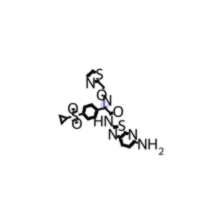 Nc1ccc2nc(NC(=O)/C(=N/OCc3nccs3)c3ccc(S(=O)(=O)C4CC4)cc3)sc2n1